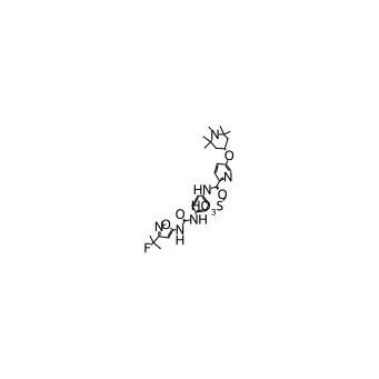 CN1C(C)(C)CC(Oc2ccc(C(=O)Nc3ccc(NC(=O)Nc4cc(C(C)(C)F)no4)cc3)nc2)CC1(C)C.CS(=O)(=O)O